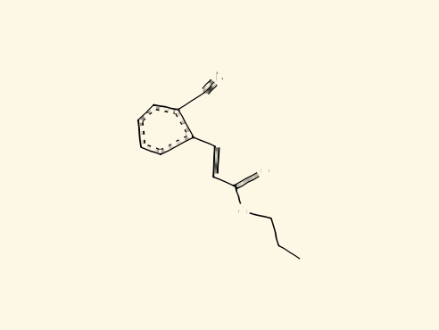 CCCOC(=O)C=Cc1ccccc1C#N